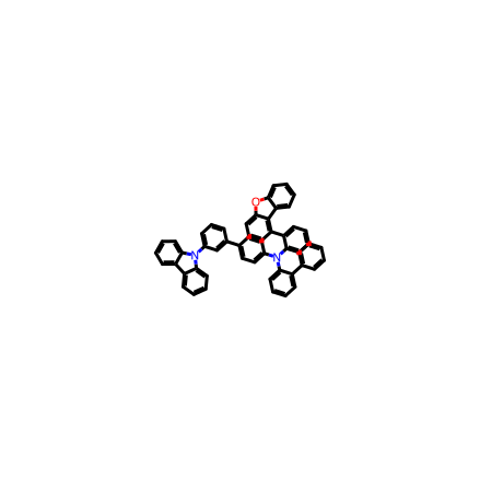 c1ccc(-c2ccccc2N(c2ccc(-c3cccc(-n4c5ccccc5c5ccccc54)c3)cc2)c2ccccc2-c2cccc3oc4ccccc4c23)cc1